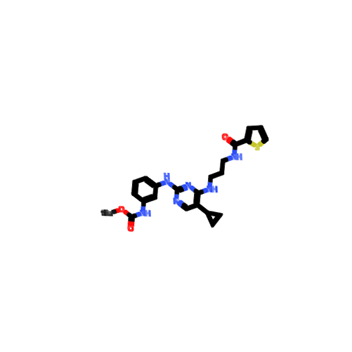 CC(C)(C)OC(=O)Nc1cccc(Nc2ncc(C3CC3)c(NCCCNC(=O)c3cccs3)n2)c1